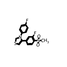 CS(=O)(=O)c1ccc(C2=CSCN2c2ccc(F)cc2)cc1F